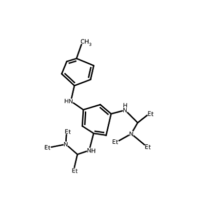 CCC(Nc1cc(Nc2ccc(C)cc2)cc(NC(CC)N(CC)CC)c1)N(CC)CC